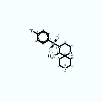 CC1N(S(=O)(=O)c2ccc(F)cc2)CCOC12CCNCC2